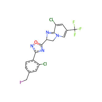 FC(F)(F)C1=CN2CC(c3nc(-c4ccc(CI)cc4Cl)no3)N=C2C(Cl)=C1